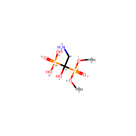 CCCCOP(=O)(OCCCC)C(O)(CN)P(=O)(O)O